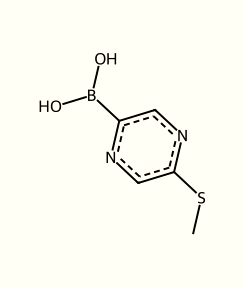 CSc1cnc(B(O)O)cn1